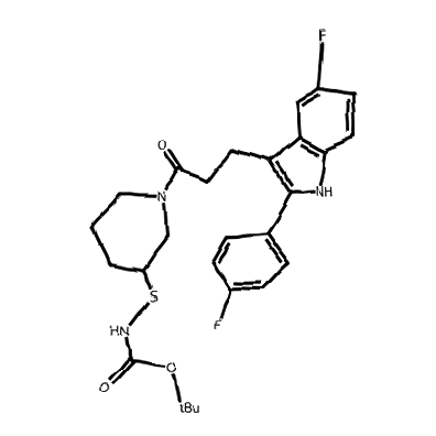 CC(C)(C)OC(=O)NSC1CCCN(C(=O)CCc2c(-c3ccc(F)cc3)[nH]c3ccc(F)cc23)C1